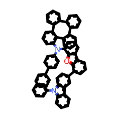 c1ccc(-c2ccc(N(c3cccc4c3-c3ccccc3-c3ccccc3-c3ccccc3-4)c3cccc4c3oc3c(-c5ccc6c(c5)c5ccccc5n6-c5ccccc5)cccc34)cc2)cc1